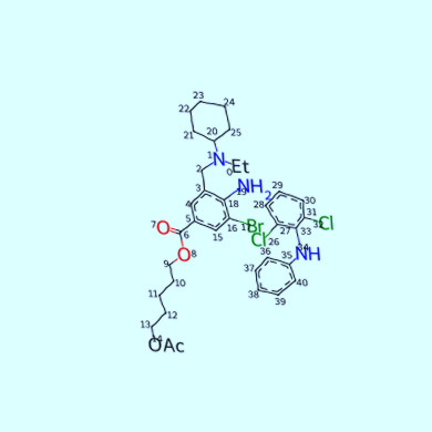 CCN(Cc1cc(C(=O)OCCCCCOC(C)=O)cc(Br)c1N)C1CCCCC1.Clc1cccc(Cl)c1Nc1ccccc1